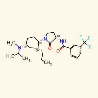 CCC[C@@H]1C[C@H](N(C)C(C)C)CC[C@@H]1N1CC[C@H](NC(=O)c2cccc(C(F)(F)F)c2)C1=O